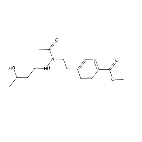 COC(=O)c1ccc(CCN(NCCC(C)O)C(C)=O)cc1